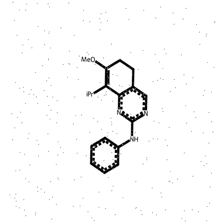 COC1=C(C(C)C)c2nc(Nc3ccccc3)ncc2CC1